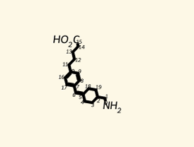 NCC1CCC(=Cc2ccc(CCCCC(=O)O)cc2)CC1